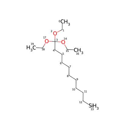 CCOC(CCCCCCCCC[SiH3])(OCC)OCC